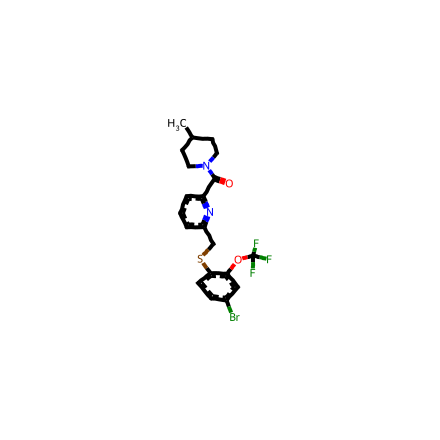 CC1CCN(C(=O)c2cccc(CSc3ccc(Br)cc3OC(F)(F)F)n2)CC1